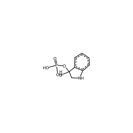 O=P(O)(O)OC1(O)CNc2ccccc21